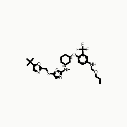 C=CCOCNc1ccc(O[C@@H]2CCC[C@@H](Nc3ncc(SCc4ncc(C(C)(C)C)o4)s3)C2)c(C(F)(F)F)c1